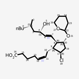 CCCC[C@H](C)C[C@H](O)/C=C/[C@@H]1[C@@H](C/C=C\CCCC(=O)O)[C@H](Cl)C[C@H]1OC1CCCCO1